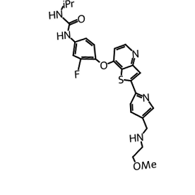 COCCNCc1ccc(-c2cc3nccc(Oc4ccc(NC(=O)NC(C)C)cc4F)c3s2)nc1